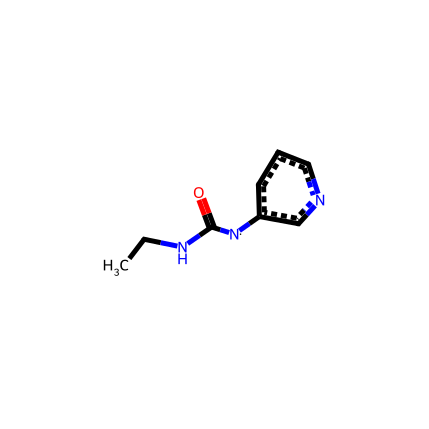 CCNC(=O)[N]c1cccnc1